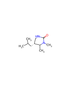 CC(C)C[C@@H]1CNC(=O)N(C)C1C